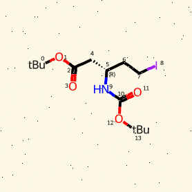 CC(C)(C)OC(=O)C[C@H](CCI)NC(=O)OC(C)(C)C